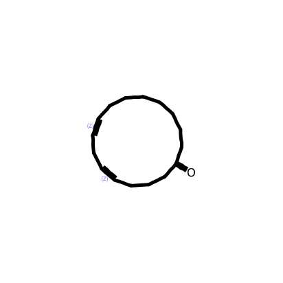 O=C1CCC/C=C\C/C=C\CCCCCCC1